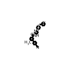 Cc1ccc(C(=O)Nc2ccc(N3CCN(Cc4cccnc4)CC3)nc2)cc1-c1ccc(C#N)cc1